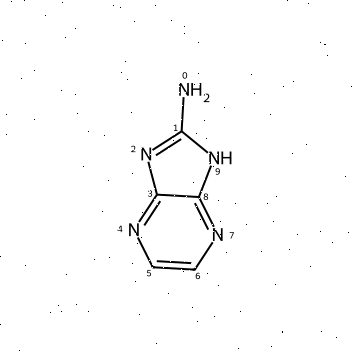 Nc1nc2nccnc2[nH]1